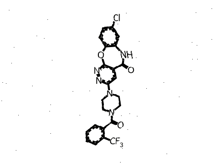 O=C1Nc2cc(Cl)ccc2Oc2nnc(N3CCN(C(=O)c4ccccc4C(F)(F)F)CC3)cc21